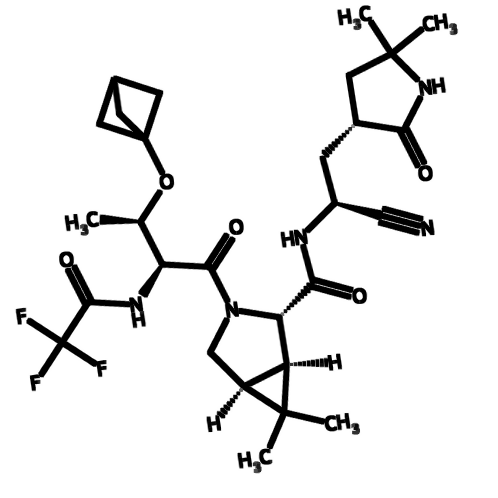 C[C@@H](OC12CC(C1)C2)[C@H](NC(=O)C(F)(F)F)C(=O)N1C[C@H]2[C@@H]([C@H]1C(=O)N[C@H](C#N)C[C@@H]1CC(C)(C)NC1=O)C2(C)C